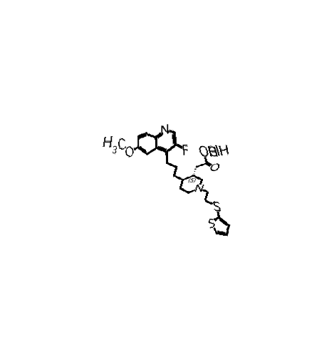 COc1ccc2ncc(F)c(CCCC3CCN(CCSc4cccs4)C[C@H]3CC(=O)O)c2c1.Cl